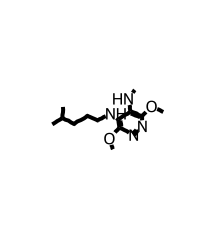 CNc1c(OC)nnc(OC)c1NCCCC(C)C